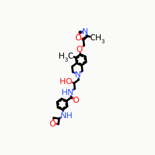 Cc1ncoc1COc1ccc2c(c1C)CCN(CC(O)CNC(=O)c1cccc(NC3COC3)c1)C2